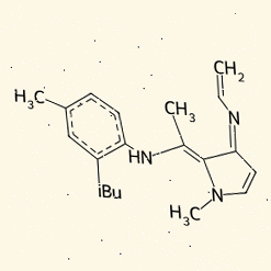 C=C/N=C1/C=CN(C)/C1=C(/C)Nc1ccc(C)cc1C(C)CC